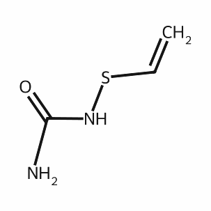 C=CSNC(N)=O